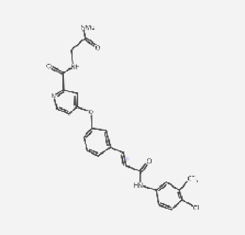 CNC(=O)CNC(=O)c1cc(Oc2cccc(/C=C/C(=O)Nc3ccc(Cl)c(C(F)(F)F)c3)c2)ccn1